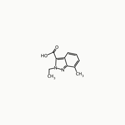 CCn1nc2c(C)cccc2c1C(=O)O